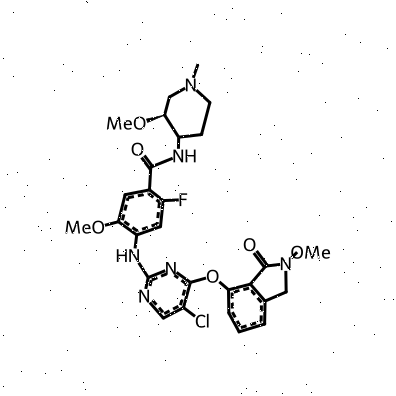 COc1cc(C(=O)NC2CCN(C)C[C@@H]2OC)c(F)cc1Nc1ncc(Cl)c(Oc2cccc3c2C(=O)N(OC)C3)n1